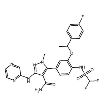 CC(Oc1cc(-c2c(C(N)=O)c(Nc3cnccn3)nn2C)ccc1NS(=O)(=O)C(F)F)c1ccc(F)cc1